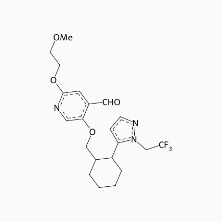 COCCOc1cc(C=O)c(OCC2CCCCC2c2ccnn2CC(F)(F)F)cn1